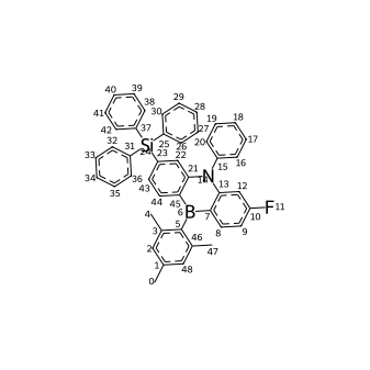 Cc1cc(C)c(B2c3ccc(F)cc3N(c3ccccc3)c3cc([Si](c4ccccc4)(c4ccccc4)c4ccccc4)ccc32)c(C)c1